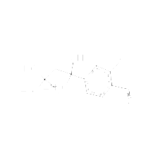 C=Cc1ccc(C(C)(C)CC(C)(C)C)cc1Cl